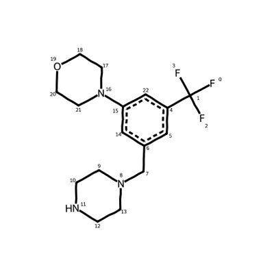 FC(F)(F)c1cc(CN2CCNCC2)cc(N2CCOCC2)c1